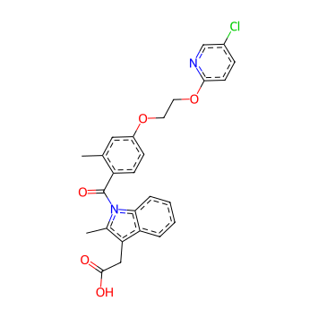 Cc1cc(OCCOc2ccc(Cl)cn2)ccc1C(=O)n1c(C)c(CC(=O)O)c2ccccc21